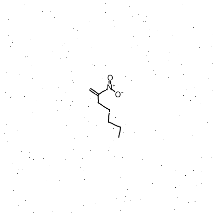 C=C(CCCCC)[N+](=O)[O-]